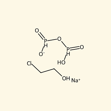 O=[PH]([O-])O[PH](=O)O.OCCCl.[Na+]